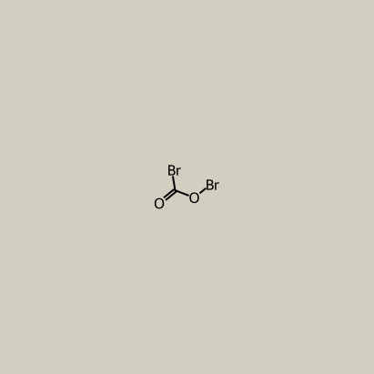 O=C(Br)OBr